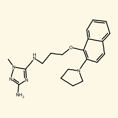 Cn1nc(N)nc1NCCCOc1c(N2CCCC2)ccc2ccccc12